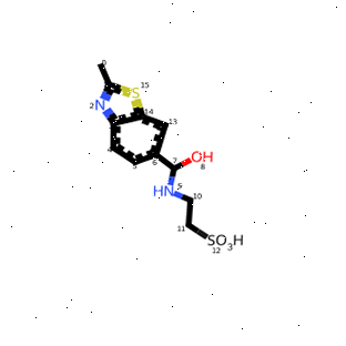 Cc1nc2ccc(C(O)NCCS(=O)(=O)O)cc2s1